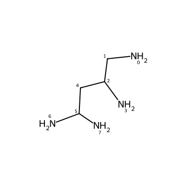 NCC(N)CC(N)N